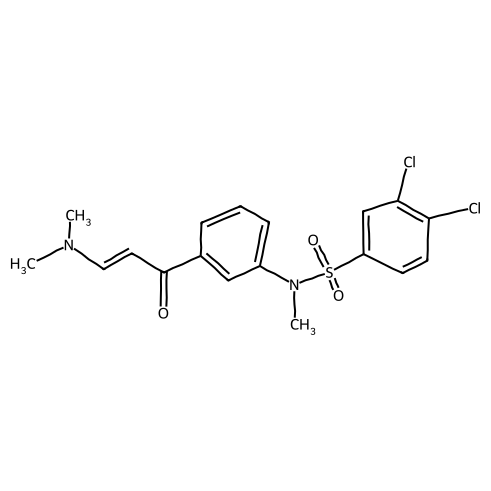 CN(C)C=CC(=O)c1cccc(N(C)S(=O)(=O)c2ccc(Cl)c(Cl)c2)c1